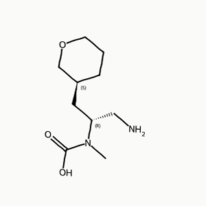 CN(C(=O)O)[C@@H](CN)C[C@@H]1CCCOC1